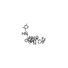 CCNC(=O)[C@H](CCNCCc1ccc(C)cc1C)NC(=O)CNC(=O)c1cccc(C(F)(F)F)c1